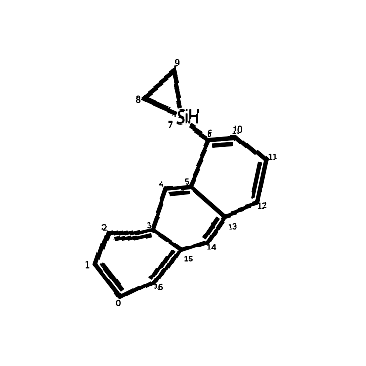 c1ccc2cc3c([SiH]4CC4)cccc3cc2c1